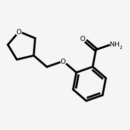 NC(=O)c1ccccc1OCC1CCOC1